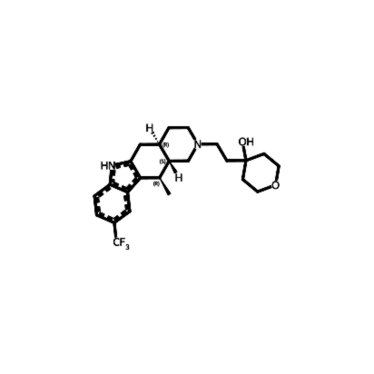 C[C@H]1c2c([nH]c3ccc(C(F)(F)F)cc23)C[C@H]2CCN(CCC3(O)CCOCC3)C[C@@H]21